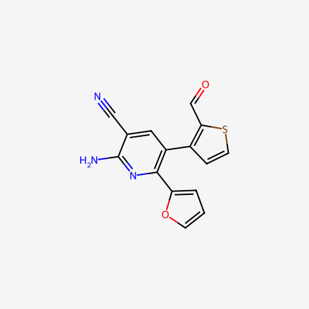 N#Cc1cc(-c2ccsc2C=O)c(-c2ccco2)nc1N